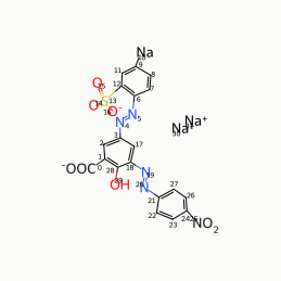 O=C([O-])c1cc(N=Nc2cc[c]([Na])cc2S(=O)(=O)[O-])cc(N=Nc2ccc([N+](=O)[O-])cc2)c1O.[Na+].[Na+]